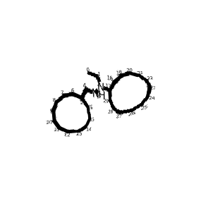 CCN(NCC1CCCCCCCCCCC1)C1CCCCCCCCCCCC1